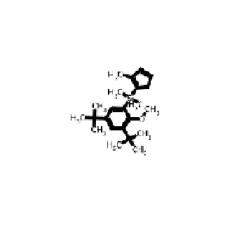 COc1c(C(C)(C)C)cc(C(C)(C)C)cc1[Si](C)(C)C1=C(C)C=CC1